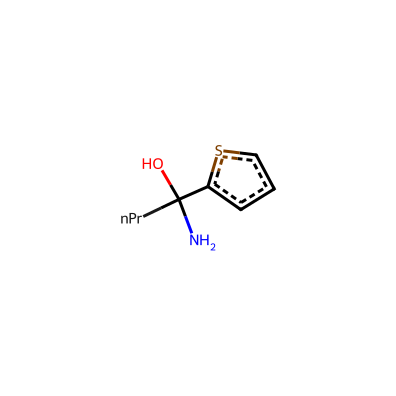 CCCC(N)(O)c1cccs1